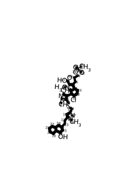 Cc1nn(C)c(CSCc2cc(CCc3cc(O)c4ccccc4c3)n(C)n2)c1-c1c(Cl)ccc2c(CCCOS(C)(=O)=O)c(C(=O)O)n(C)c12